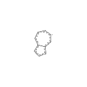 [c]1cccc2cccc-2c1